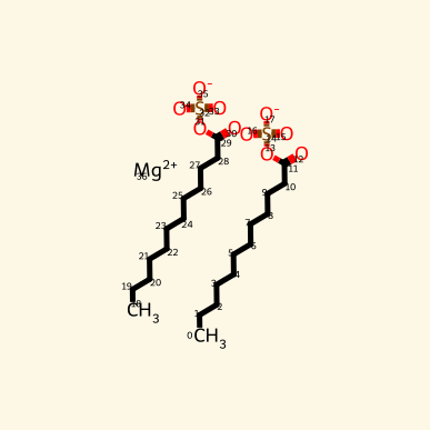 CCCCCCCCCCCC(=O)OS(=O)(=O)[O-].CCCCCCCCCCCC(=O)OS(=O)(=O)[O-].[Mg+2]